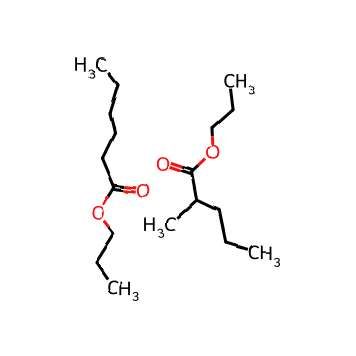 CCCCCC(=O)OCCC.CCCOC(=O)C(C)CCC